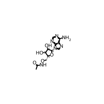 CC(=O)NOC[C@H]1O[C@@H](n2cnc3c(N)ncnc32)[C@H](O)[C@@H]1O